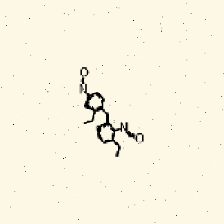 CCc1cc(N=C=O)ccc1Cc1cccc(CC)c1N=C=O